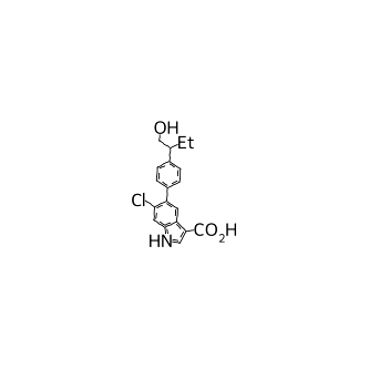 CCC(CO)c1ccc(-c2cc3c(C(=O)O)c[nH]c3cc2Cl)cc1